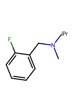 CC(C)N(C)Cc1ccccc1F